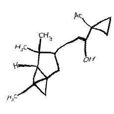 CC(=O)C1(C(O)CC2CC34CC3(C)[C@@H]4C2(C)C)CC1